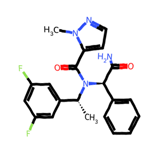 C[C@H](c1cc(F)cc(F)c1)N(C(=O)c1ccnn1C)[C@@H](C(N)=O)c1ccccc1